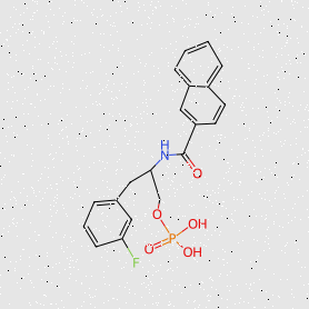 O=C(NC(COP(=O)(O)O)Cc1cccc(F)c1)c1ccc2ccccc2c1